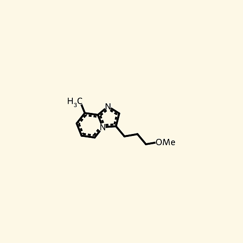 COCCCc1cnc2c(C)cccn12